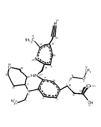 CCN(c1ccc([C@H](COC)CC(=O)O)cc1Nc1ccc(C#N)c(C)n1)C1CCOCC1